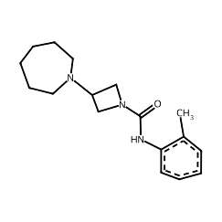 Cc1ccccc1NC(=O)N1CC(N2CCCCCC2)C1